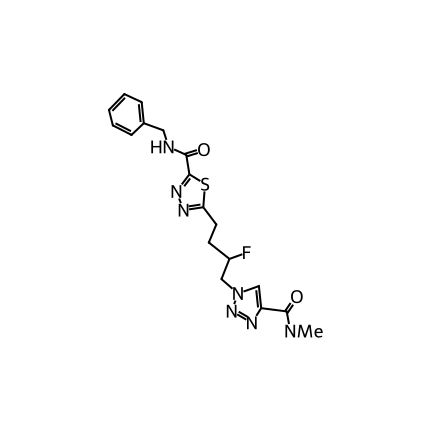 CNC(=O)c1cn(CC(F)CCc2nnc(C(=O)NCc3ccccc3)s2)nn1